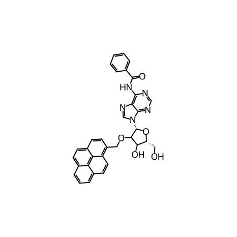 O=C(Nc1ncnc2c1ncn2[C@@H]1O[C@H](CO)C(O)C1OCc1ccc2ccc3cccc4ccc1c2c34)c1ccccc1